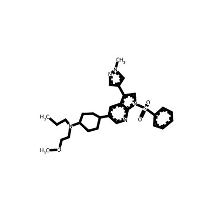 CCCN(CCOC)C1CCC(c2cnc3c(c2)c(-c2cnn(C)c2)cn3S(=O)(=O)c2ccccc2)CC1